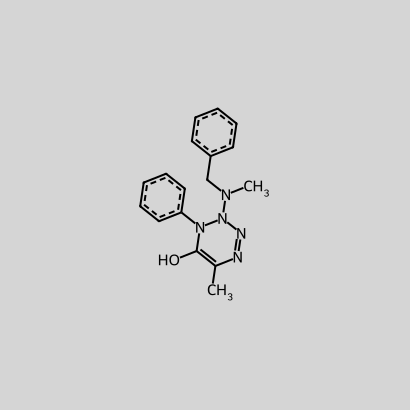 CC1=C(O)N(c2ccccc2)N(N(C)Cc2ccccc2)N=N1